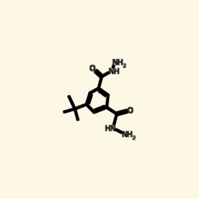 CC(C)(C)c1cc(C(=O)NN)cc(C(=O)NN)c1